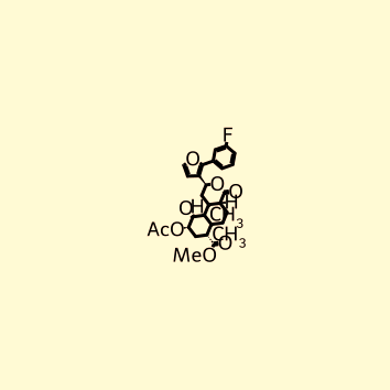 COC(=O)[C@@H]1C[C@H](OC(C)=O)C(=O)[C@H]2[C@@]1(C)CC[C@H]1C(=O)O[C@H](c3ccoc3-c3cccc(F)c3)C[C@]21C